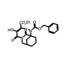 CCOC(=O)c1nc2n(c(=O)c1O)CC1CCCC2(N(C)C(=O)OCc2ccccc2)C1